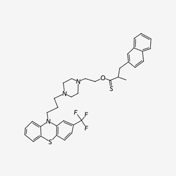 CC(Cc1ccc2ccccc2c1)C(=S)OCCN1CCN(CCCN2c3ccccc3Sc3ccc(C(F)(F)F)cc32)CC1